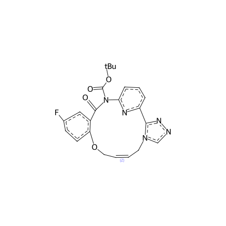 CC(C)(C)OC(=O)N1C(=O)c2cc(F)ccc2OC/C=C\Cn2cnnc2-c2cccc1n2